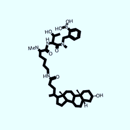 CNC(CCCCNC(=O)CCC(C)C1CCC2C3CC[C@H]4C[C@@H](O)CC[C@@]4(C)C3CC[C@@]12C)C(=O)NC(C(=O)N(C)Cc1ccccc1B(O)O)C(C)O